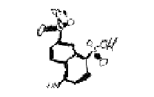 [NH]c1ccc(S(=O)(=O)O)c2cc(S(=O)(=O)O)ccc12